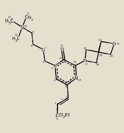 CCOC(=O)/C=C/c1cn(COCC[Si](C)(C)C)c(=O)c(N2CC3(COC3)C2)n1